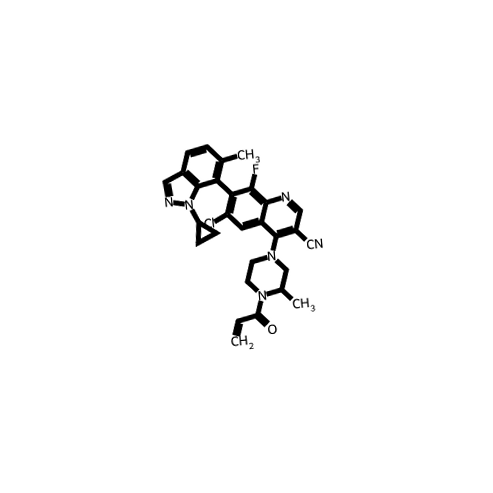 C=CC(=O)N1CCN(c2c(C#N)cnc3c(F)c(-c4c(C)ccc5cnn(C6CC6)c45)c(Cl)cc23)CC1C